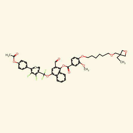 CCC1(COCCCCCCOc2ccc(C(=O)Oc3c(C=O)cc(OC(F)(F)c4ccc(-c5ccc(OC(C)=O)cc5)c(F)c4F)c4ccccc34)cc2OC)COC1